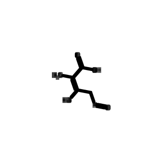 CC(C(=O)O)=C(O)CP=O